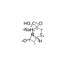 O=C1C[C@H]2SCC(Cl)(C(=O)O)CN12.[NaH]